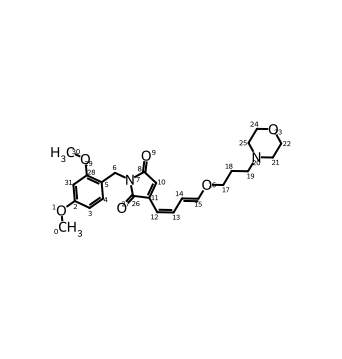 COc1ccc(CN2C(=O)C=C(/C=C\C=C\OCCCN3CCOCC3)C2=O)c(OC)c1